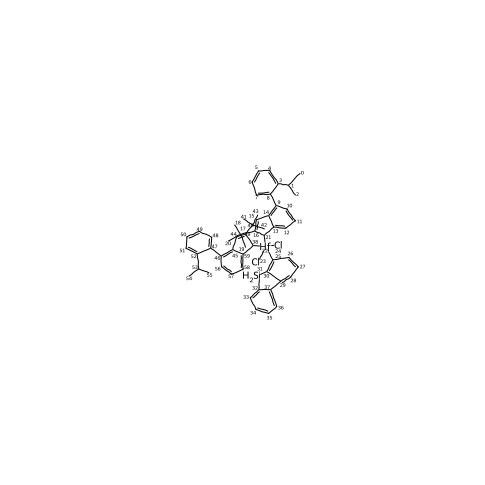 CC(C)c1ccccc1-c1cccc2c1C=C(C(C)(C)C)[CH]2[Hf]([Cl])([Cl])([c]1cccc2c1[SiH2]c1ccccc1-2)[CH]1C(C(C)(C)C)=Cc2c(-c3ccccc3C(C)C)cccc21